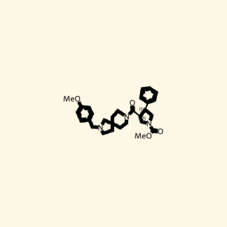 COC(=O)N1C[C@H](c2ccccc2)[C@H](C(=O)N2CCC3(CCN(Cc4ccc(OC)cc4)C3)CC2)C1